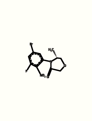 C[C@@H]1COCC(=O)N1c1cc(Br)cc(F)c1[N+](=O)[O-]